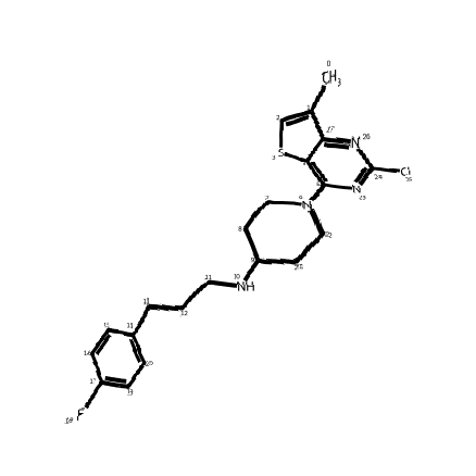 Cc1csc2c(N3CCC(NCCCc4ccc(F)cc4)CC3)nc(Cl)nc12